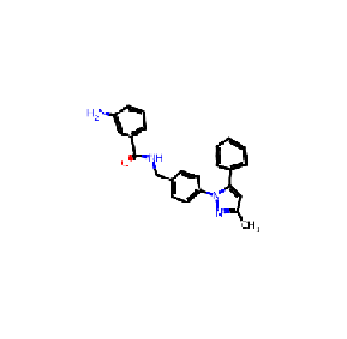 Cc1cc(-c2ccccc2)n(-c2ccc(CNC(=O)c3cccc(N)c3)cc2)n1